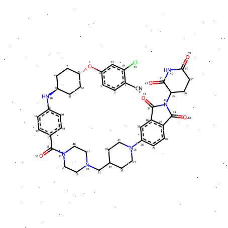 N#Cc1ccc(O[C@H]2CC[C@H](Nc3ccc(C(=O)N4CCN(CC5CCN(c6ccc7c(c6)C(=O)N(C6CCC(=O)NC6=O)C7=O)CC5)CC4)cc3)CC2)cc1Cl